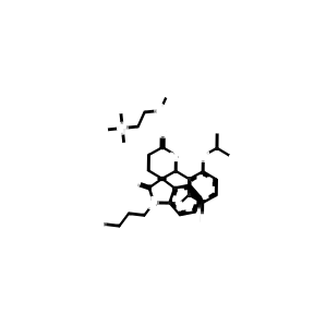 CC(C)Oc1ccc(F)c(F)c1C1NC(=O)CCC12C(=O)N(CCCCl)c1ccccc12.COCC[Si](C)(C)C